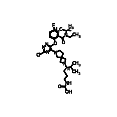 CCN(C(=O)c1cc(F)ccc1Oc1nnc(Cl)nc1N1CCC2(C1)CN([C@H](CCCNC(=O)O)C(C)C)C2)C(C)C